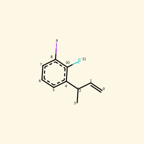 C=C[C](C)c1cccc(I)c1F